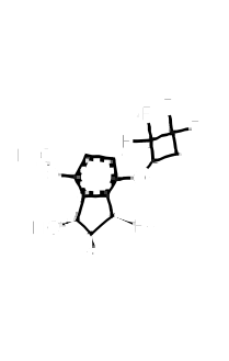 COc1ccc(OC2CC(F)(F)C2(F)F)c2c1[C@H](O)[C@H](F)[C@@H]2F